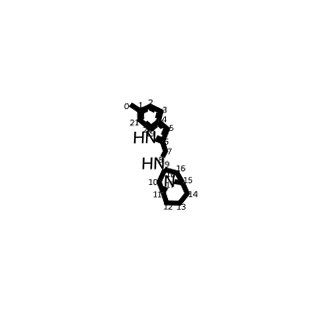 Cc1ccc2cc(CNC3CC4CCCC(C3)N4C)[nH]c2c1